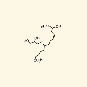 CCCCCC[C@@H](O)C/C=C\CCC(CCCCC(=O)O)OCC(O)CO